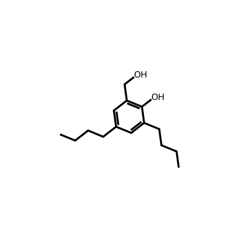 CCCCc1cc(CO)c(O)c(CCCC)c1